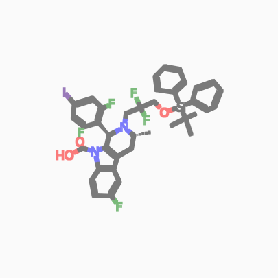 C[C@@H]1Cc2c(n(C(=O)O)c3ccc(F)cc23)[C@@H](c2c(F)cc(I)cc2F)N1CC(F)(F)CO[Si](c1ccccc1)(c1ccccc1)C(C)(C)C